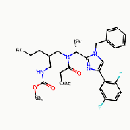 CC(=O)CCC(CNC(=O)OC(C)(C)C)CN(C(=O)COC(C)=O)[C@@H](c1nc(-c2cc(F)ccc2F)cn1Cc1ccccc1)C(C)(C)C